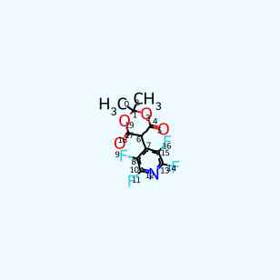 CC1(C)OC(=O)C(c2c(F)c(F)nc(F)c2F)C(=O)O1